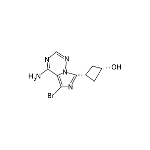 Nc1ncnn2c1c(Br)nc2[C@H]1C[C@@H](O)C1